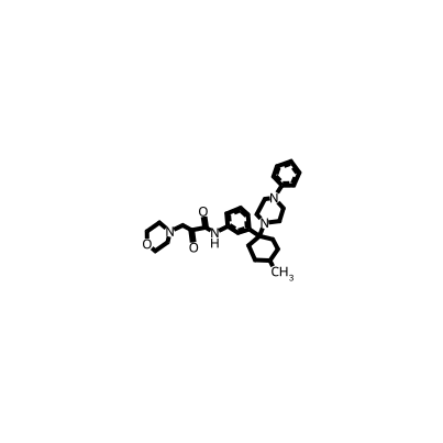 CC1CCC(c2cccc(NC(=O)C(=O)CN3CCOCC3)c2)(N2CCN(c3ccccc3)CC2)CC1